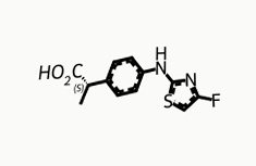 C[C@H](C(=O)O)c1ccc(Nc2nc(F)cs2)cc1